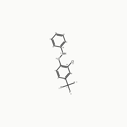 FC(F)(F)c1ccc(ONc2ccccc2)c(Cl)c1